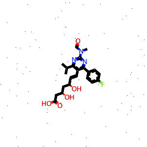 CC(C)c1nc(N(C)C=O)nc(-c2ccc(F)cc2)c1/C=C/[C@@H](O)C[C@@H](O)CC(=O)O